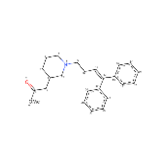 COC(=O)CC1CCCN(CCC=C(c2ccccc2)c2ccccc2)C1